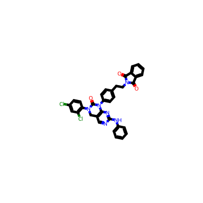 O=C1c2ccccc2C(=O)N1CCc1ccc(N2C(=O)N(c3ccc(Cl)cc3Cl)Cc3cnc(Nc4ccccc4)nc32)cc1